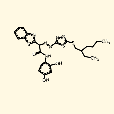 CCCCC(CC)CSc1nnc(N=NC(C(=O)Nc2ccc(O)cc2O)c2nc3ccccc3s2)s1